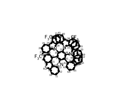 N#Cc1c(-c2cccc3sc4ccccc4c23)c(-n2c3ccccc3c3ccc(C(F)(F)F)cc32)c(-n2c3ccccc3c3ccc(C(F)(F)F)cc32)c(-n2c3ccccc3c3ccc(C(F)(F)F)cc32)c1-c1cccc2sc3ccccc3c12